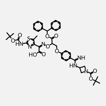 Cc1sc(NC(=O)OC(C)(C)C)nc1/C(=N/OC(COc1ccc(C(=N)NC2CN(C(=O)OC(C)(C)C)C2)cc1)C(=O)OC(c1ccccc1)c1ccccc1)C(=O)O